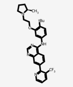 C[C@@H]1CCCN1CCOc1cc(Nc2ncnc3cc(-c4ncccc4C(F)(F)F)ccc23)ccc1C(C)(C)C